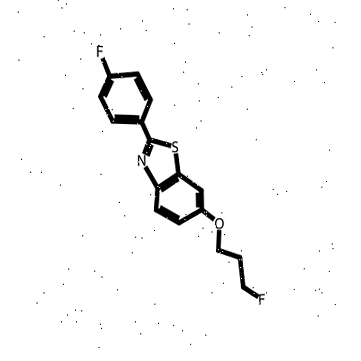 FCCCOc1ccc2nc(-c3ccc(F)cc3)sc2c1